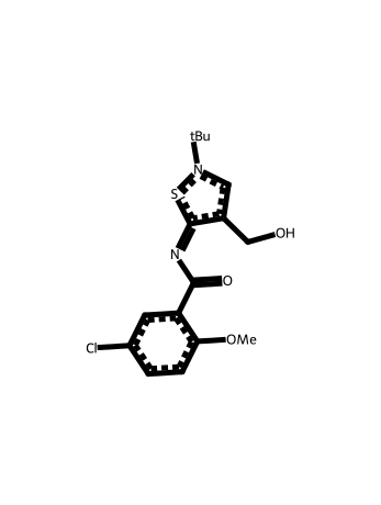 COc1ccc(Cl)cc1C(=O)N=c1sn(C(C)(C)C)cc1CO